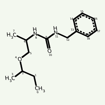 CCC(C)OCC(C)NC(=O)NCc1ccccc1